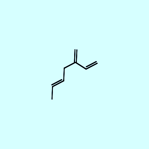 C=CC(=C)C/C=C/C